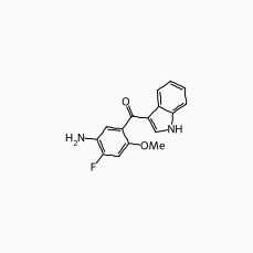 COc1cc(F)c(N)cc1C(=O)c1c[nH]c2ccccc12